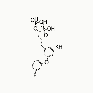 O=[PH](O)OC(CCCc1cccc(Oc2cccc(F)c2)c1)S(=O)(=O)O.[KH]